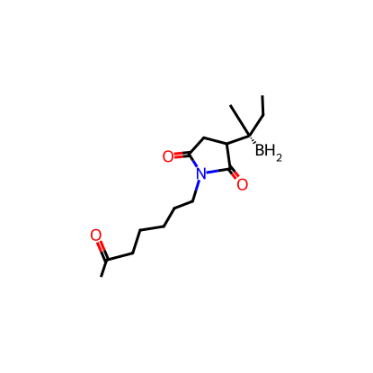 B[C@](C)(CC)C1CC(=O)N(CCCCCC(C)=O)C1=O